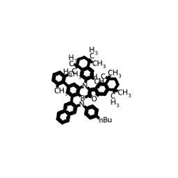 CCCCc1ccc(N2B3c4oc5cc6c(cc5c4N(c4cc5c(cc4C)C(C)(C)CCC5(C)C)c4cc(-c5c(C)cccc5C)cc(c43)-c3cc4ccccc4cc32)C(C)(C)CCC6(C)C)cc1